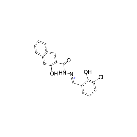 O=C(N/N=C/c1cccc(Cl)c1O)c1cc2ccccc2cc1O